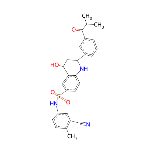 Cc1ccc(NS(=O)(=O)c2ccc3c(c2)C(O)CC(c2cccc(C(=O)C(C)C)c2)N3)cc1C#N